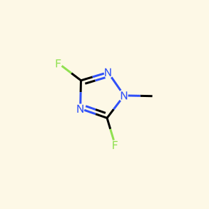 Cn1nc(F)nc1F